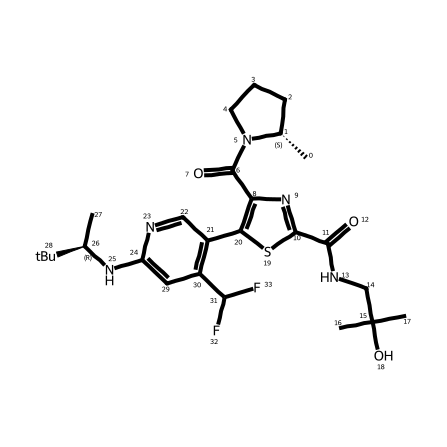 C[C@H]1CCCN1C(=O)c1nc(C(=O)NCC(C)(C)O)sc1-c1cnc(N[C@H](C)C(C)(C)C)cc1C(F)F